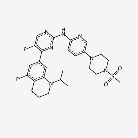 CC(C)N1CCSc2c(F)cc(-c3nc(Nc4ccc(N5CCN(S(C)(=O)=O)CC5)cn4)ncc3F)cc21